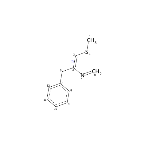 C=N/C(=C\SC)Cc1ccccc1